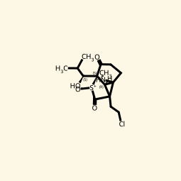 CNC12CCC(=O)[C@@]3([C@@H](O)C(C)C)[C@@H]1C2(CCCl)C(=O)[S+]3[O-]